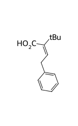 CC(C)(C)/C(=C/Cc1ccccc1)C(=O)O